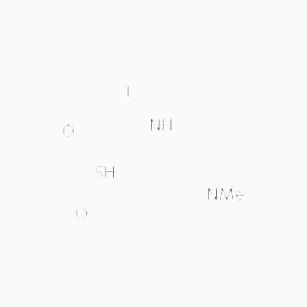 CN/C=C(\NI)[SH](=O)=O